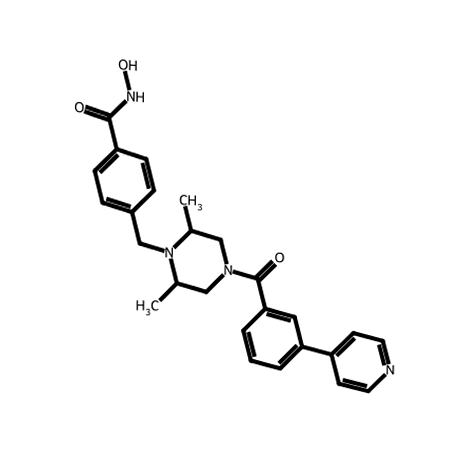 CC1CN(C(=O)c2cccc(-c3ccncc3)c2)CC(C)N1Cc1ccc(C(=O)NO)cc1